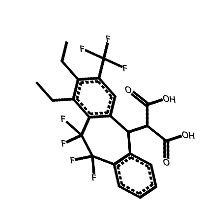 CCc1c(C(F)(F)F)cc2c(c1CC)C(F)(F)C(F)(F)c1ccccc1C2C(C(=O)O)C(=O)O